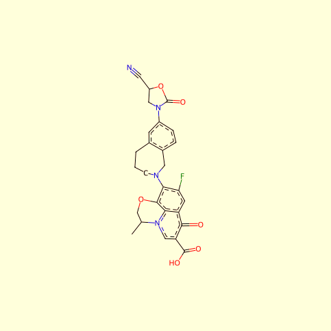 CC1COc2c(N3CCCc4cc(N5CC(C#N)OC5=O)ccc4C3)c(F)cc3c(=O)c(C(=O)O)cn1c23